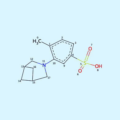 Cc1ccc(S(=O)(=O)O)cc1N1CC2CC(C2)C1